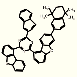 CC1(C)CCC(C)(C)c2cc(-c3ccc4c(c3)oc3cccc(-c5nc(-c6ccc7ccccc7c6)nc(-c6cccc7c6C6C=CC=CC6S7)n5)c34)ccc21